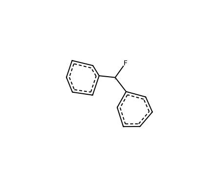 F[C](c1ccccc1)c1ccccc1